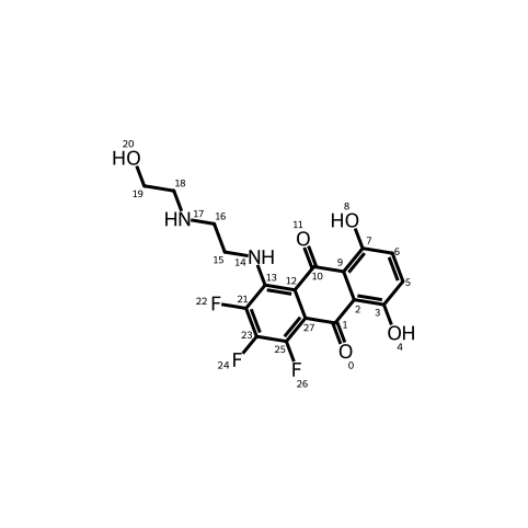 O=C1c2c(O)ccc(O)c2C(=O)c2c(NCCNCCO)c(F)c(F)c(F)c21